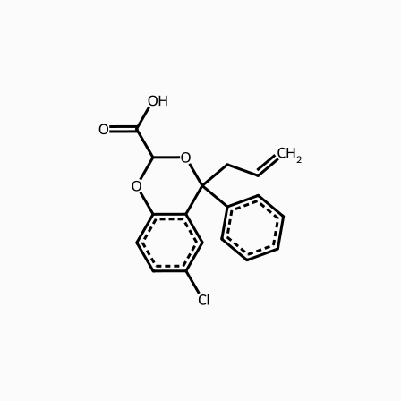 C=CCC1(c2ccccc2)OC(C(=O)O)Oc2ccc(Cl)cc21